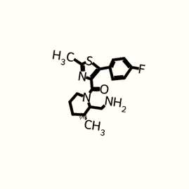 Cc1nc(C(=O)N2CCC[C@@H](C)C2CN)c(-c2ccc(F)cc2)s1